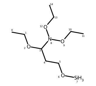 CCOC(CCO[SiH3])N(OCC)OCC